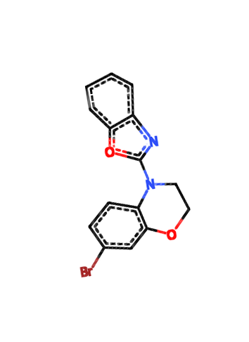 Brc1ccc2c(c1)OCCN2c1nc2ccccc2o1